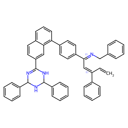 C=C/C(=C\C(=N/Cc1ccccc1)c1ccc(-c2cccc3ccc(C4=NC(c5ccccc5)NC(c5ccccc5)N4)cc23)cc1)c1ccccc1